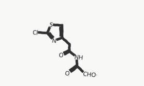 O=[C]C(=O)NC(=O)Cc1csc(Cl)n1